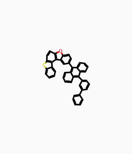 c1ccc(-c2cccc(-c3c4ccccc4c(-c4ccc5oc6ccc7sc8ccccc8c7c6c5c4)c4ccccc34)c2)cc1